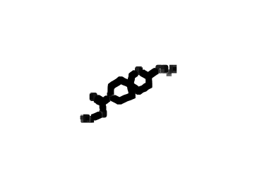 CC(C)(C)OC(=O)N1CCC2(CCC(C(=O)O)OC2)CC1